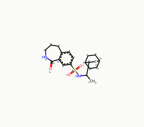 CC(NS(=O)(=O)c1ccc2c(c1)C(=O)NCCC2)C1CC2CCC1CC2